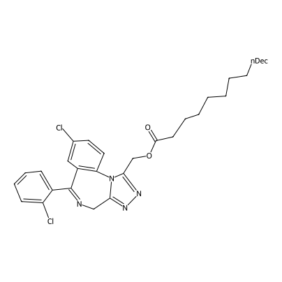 CCCCCCCCCCCCCCCCCC(=O)OCc1nnc2n1-c1ccc(Cl)cc1C(c1ccccc1Cl)=NC2